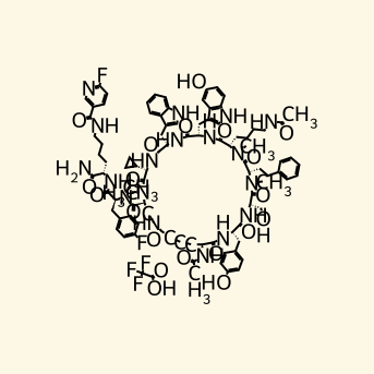 CC(=O)NCCCC[C@H]1C(=O)N[C@@H](Cc2c[nH]c3ccc(O)cc23)C(=O)N[C@@H](Cc2c[nH]c3ccccc23)C(=O)N[C@@H](C2CC2)C(=O)N(C)[C@H](C(=O)N(C)[C@@H](Cc2ccc(F)cc2)C(=O)N[C@@H](CCCCNC(=O)c2ccc(F)nc2)C(N)=O)CNC(=O)CCC[C@H](NC(C)=O)C(=O)N[C@@H](Cc2ccc(O)cc2)C(=O)N[C@@H](CO)C(=O)N(C)[C@@H](CCc2ccccc2)C(=O)N1C.O=C(O)C(F)(F)F